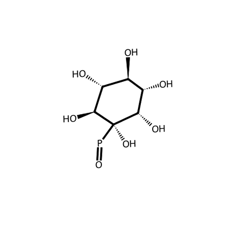 O=P[C@@]1(O)[C@@H](O)[C@H](O)[C@@H](O)[C@H](O)[C@@H]1O